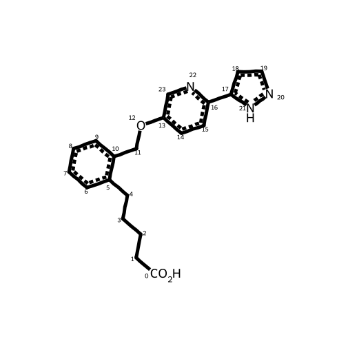 O=C(O)CCCCc1ccccc1COc1ccc(-c2ccn[nH]2)nc1